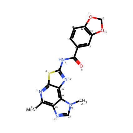 CNc1nc2sc(NC(=O)c3ccc4c(c3)OCO4)nc2c2c1ncn2C